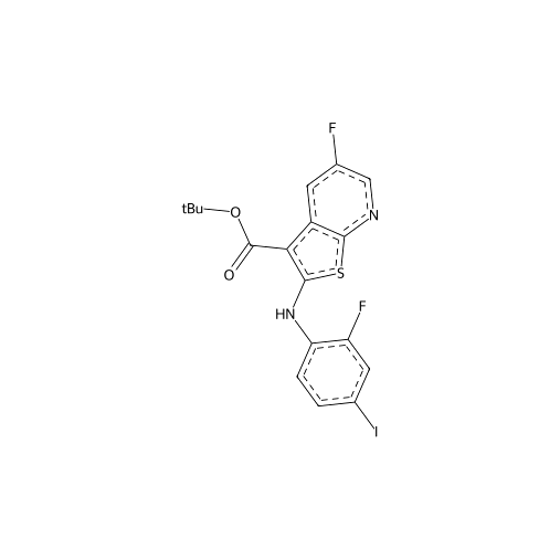 CC(C)(C)OC(=O)c1c(Nc2ccc(I)cc2F)sc2ncc(F)cc12